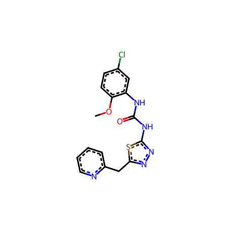 COc1ccc(Cl)cc1NC(=O)Nc1nnc(Cc2ccccn2)s1